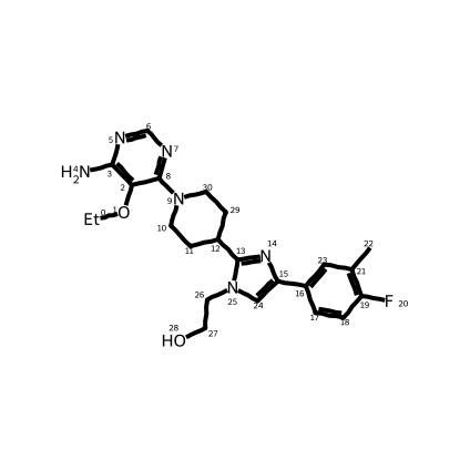 CCOc1c(N)ncnc1N1CCC(c2nc(-c3ccc(F)c(C)c3)cn2CCO)CC1